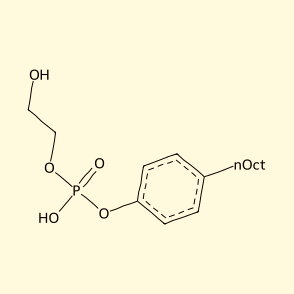 CCCCCCCCc1ccc(OP(=O)(O)OCCO)cc1